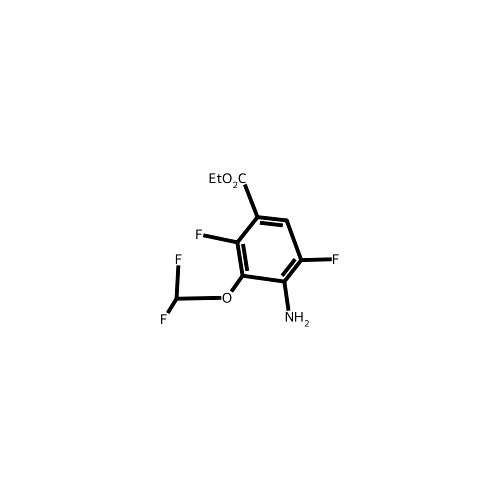 CCOC(=O)c1cc(F)c(N)c(OC(F)F)c1F